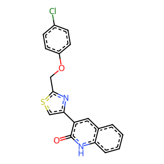 O=c1[nH]c2ccccc2cc1-c1csc(COc2ccc(Cl)cc2)n1